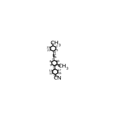 Cc1ccc(C#Cc2ccc(-c3ccc(C#N)cc3)c(C)c2)cc1